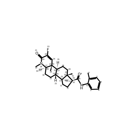 Cc1ccccc1NC(=O)[C@H]1CC[C@H]2[C@@H]3CC[C@H]4N(C)C(=O)C(F)=C[C@]4(C)[C@H]3CC[C@]12C